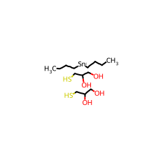 CCC[CH2][Sn][CH2]CCC.OCC(O)CS.OCC(O)CS